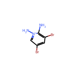 Nc1c(Br)cc(Br)c[n+]1N